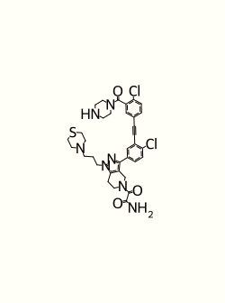 NC(=O)C(=O)N1CCc2c(c(-c3ccc(Cl)c(C#Cc4ccc(Cl)c(C(=O)N5CCNCC5)c4)c3)nn2CCCN2CCSCC2)C1